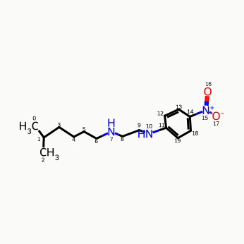 CC(C)CCCCNCCNc1ccc([N+](=O)[O-])cc1